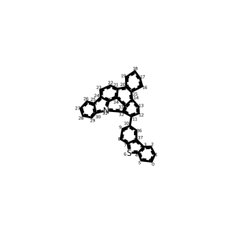 c1ccc2c(c1)sc1ccc(-c3ccc4c5ccccc5c5ccc6c7ccccc7n7c3c4c5c67)cc12